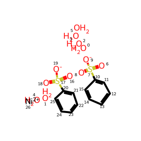 O.O.O.O.O.O.O=S(=O)([O-])c1ccccc1.O=S(=O)([O-])c1ccccc1.[Ni+2]